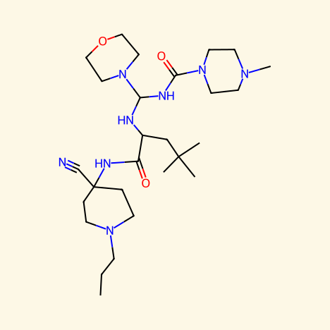 CCCN1CCC(C#N)(NC(=O)C(CC(C)(C)C)NC(NC(=O)N2CCN(C)CC2)N2CCOCC2)CC1